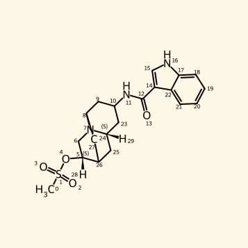 CS(=O)(=O)O[C@@H]1CN2C3CC(NC(=O)c4c[nH]c5ccccc45)C[C@@H]2CC1C3